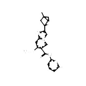 COc1cc2nc(C34CC(C)(CO3)C4)cn2cc1C(=O)Nc1ccccn1